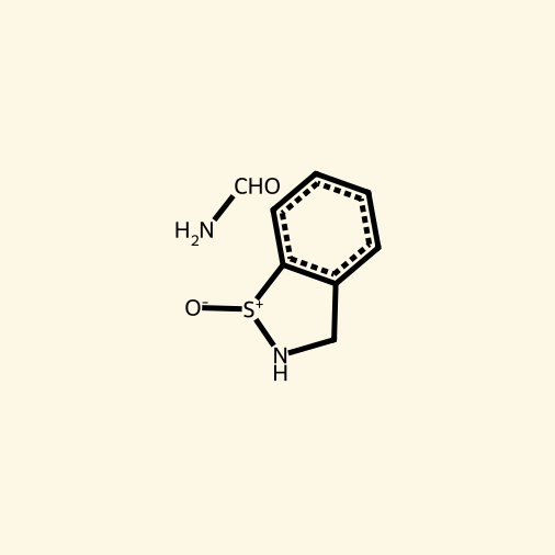 NC=O.[O-][S+]1NCc2ccccc21